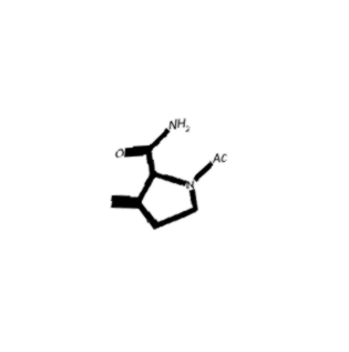 C=C1CCN(C(C)=O)C1C(N)=O